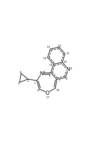 C1=C(C2CC2)N=c2c(cnc3ccccc23)=CO1